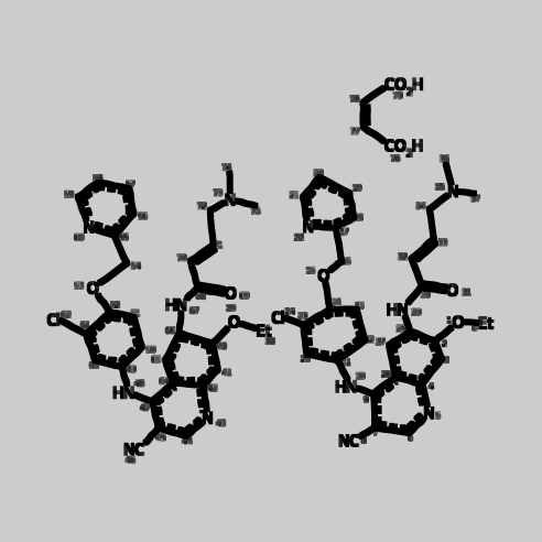 CCOc1cc2ncc(C#N)c(Nc3ccc(OCc4ccccn4)c(Cl)c3)c2cc1NC(=O)C=CCN(C)C.CCOc1cc2ncc(C#N)c(Nc3ccc(OCc4ccccn4)c(Cl)c3)c2cc1NC(=O)C=CCN(C)C.O=C(O)/C=C\C(=O)O